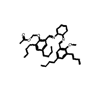 CCCCc1cc(/C=N/C2CCCCC2/N=C/c2cc(CCCC)cc(CCCC)c2OCOC(C)=O)c(OC)c(CCCC)c1